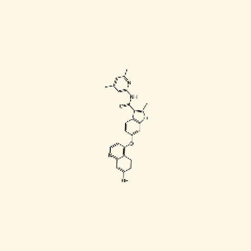 Cc1cc(C)nc(NC(=O)c2c(C)oc3cc(Oc4ccnc5cc(O)ccc45)ccc23)c1